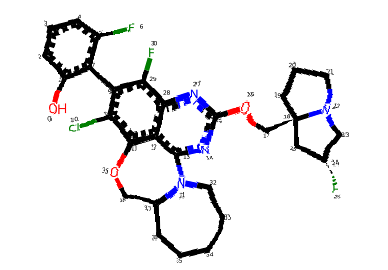 Oc1cccc(F)c1-c1c(Cl)c2c3c(nc(OC[C@@]45CCCN4C[C@H](F)C5)nc3c1F)N1CCCCCC1CO2